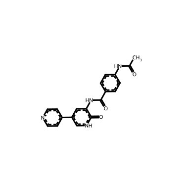 CC(=O)Nc1ccc(C(=O)Nc2cc(-c3ccncc3)c[nH]c2=O)cc1